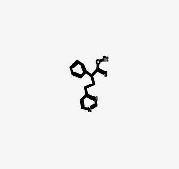 CCOC(=S)C(CCc1ccncn1)c1ccccc1